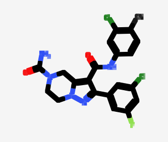 N#Cc1ccc(NC(=O)c2c(-c3cc(F)cc(Cl)c3)nn3c2CN(C(N)=O)CC3)cc1Cl